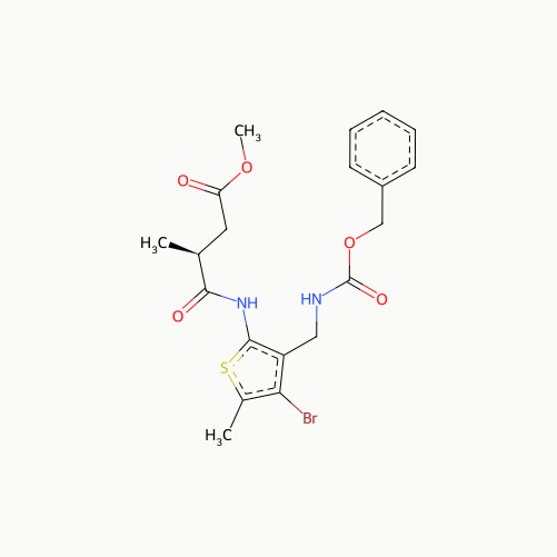 COC(=O)C[C@H](C)C(=O)Nc1sc(C)c(Br)c1CNC(=O)OCc1ccccc1